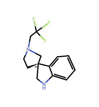 FC(F)(F)CN1CC[C@@]2(CNc3ccccc32)C1